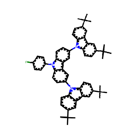 CC(C)(C)c1ccc2c(c1)c1cc(C(C)(C)C)ccc1n2-c1ccc2c(c1)c1cc(-n3c4ccc(C(C)(C)C)cc4c4cc(C(C)(C)C)ccc43)ccc1n2-c1ccc(F)cc1